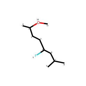 [CH2]C(CCC(F)CC(C)C)OC